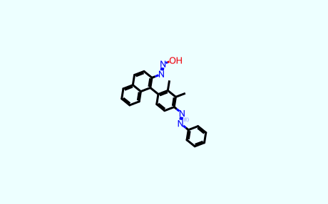 Cc1c(/N=N/c2ccccc2)ccc(-c2c(N=NO)ccc3ccccc23)c1C